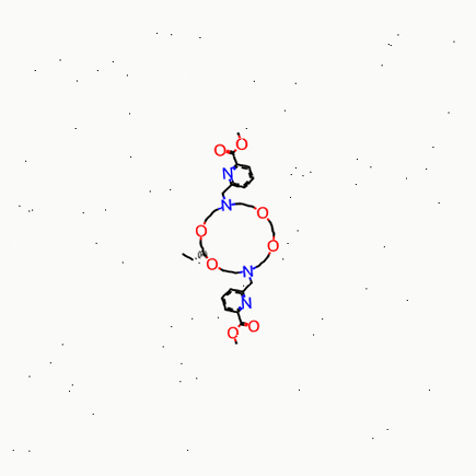 CC[C@@H]1COCCN(Cc2cccc(C(=O)OC)n2)CCOCCOCCN(Cc2cccc(C(=O)OC)n2)CCO1